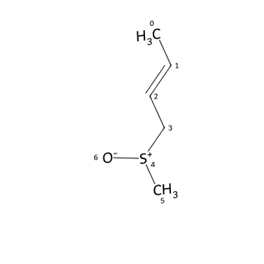 C/C=C/C[S+](C)[O-]